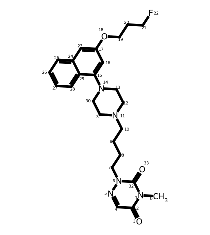 Cn1c(=O)cnn(CCCCN2CCN(c3cc(OCCCF)cc4ccccc34)CC2)c1=O